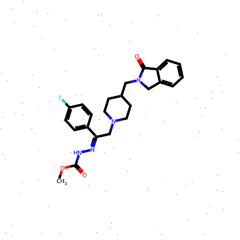 COC(=O)N/N=C(/CN1CCC(CN2Cc3ccccc3C2=O)CC1)c1ccc(F)cc1